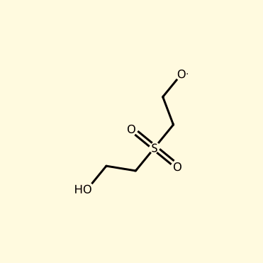 [O]CCS(=O)(=O)CCO